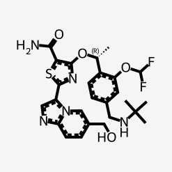 C[C@@H](Oc1nc(-c2cnc3ccc(CO)cn23)sc1C(N)=O)c1ccc(CNC(C)(C)C)cc1OC(F)F